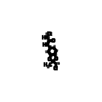 CCNC(=O)Nc1ccc2c(c1)OC(C)(CCl)O2